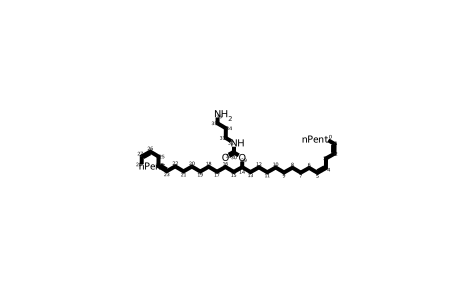 CCCCC/C=C\C/C=C\CCCCCCCCC(CCCCCCCC/C=C\C/C=C\CCCCC)OC(=O)NCCCN